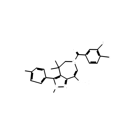 CCOC(=O)C1=CN(C(=O)c2ccc(F)c(F)c2)CC(C)(C)c2c1nn(C)c2-c1ccc(F)cc1